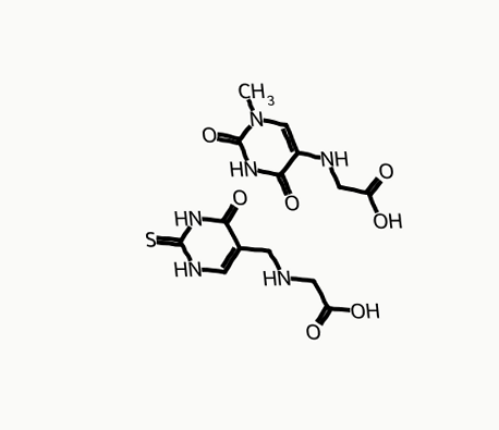 Cn1cc(NCC(=O)O)c(=O)[nH]c1=O.O=C(O)CNCc1c[nH]c(=S)[nH]c1=O